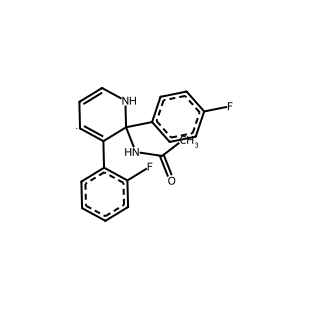 CC(=O)NC1(c2ccc(F)cc2)NC=C[C]=C1c1ccccc1F